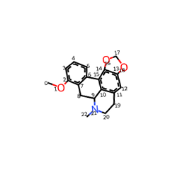 COc1cccc2c1CC1c3c(cc4c(c3-2)OCO4)CCN1C